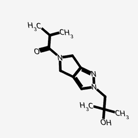 CC(C)C(=O)N1Cc2cn(CC(C)(C)O)nc2C1